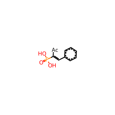 CC(=O)/C(=C\c1ccccc1)P(=O)(O)O